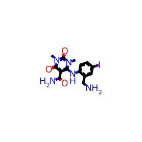 Cn1c(Nc2ccc(I)cc2CN)c(C(N)=O)c(=O)n(C)c1=O